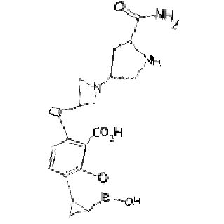 NC(=O)C1CC(N2CC(Oc3ccc4c(c3C(=O)O)OB(O)C3CC43)C2)CN1